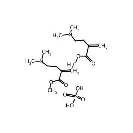 C=C(CCN(C)C)C(=O)OC.C=C(CCN(C)C)C(=O)OC.O=S(=O)(O)O